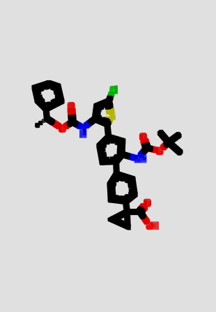 C[C@@H](OC(=O)Nc1cc(Cl)sc1-c1ccc(-c2ccc(C3(C(=O)O)CC3)cc2)c(NC(=O)OC(C)(C)C)c1)c1ccccc1